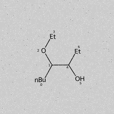 CCCCC(OCC)C(O)CC